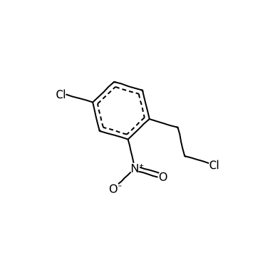 O=[N+]([O-])c1cc(Cl)ccc1CCCl